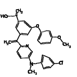 C=C(O)c1cc(Oc2cccc(OC)c2)cc(C(=C)c2ccc(N(C)c3ccc(Cl)cc3)cn2)c1